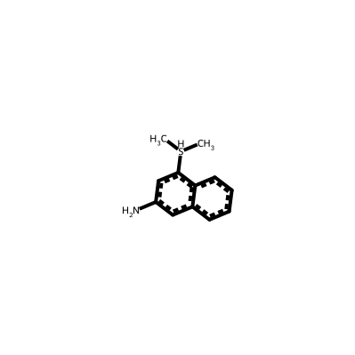 C[SH](C)c1cc(N)cc2ccccc12